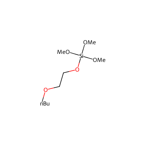 CCCCOCCO[Si](OC)(OC)OC